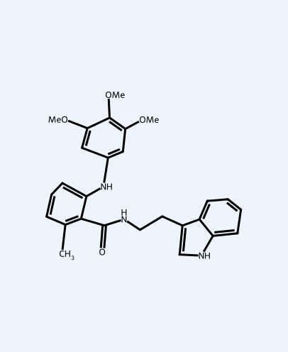 COc1cc(Nc2cccc(C)c2C(=O)NCCc2c[nH]c3ccccc23)cc(OC)c1OC